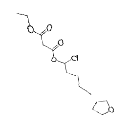 C1CCOC1.CCCCC(Cl)OC(=O)CC(=O)OCC